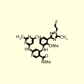 CNC(=O)c1cnc(Nc2cc(C)nc(C)n2)cc1Nc1cccc(-c2nc(C)n(CCF)n2)c1OC